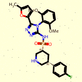 COc1cccc(OC)c1-n1c(NS(=O)(=O)[C@H]2CNC[C@@H](c3ccc(F)cc3)C2)nnc1-c1ccc(C)o1